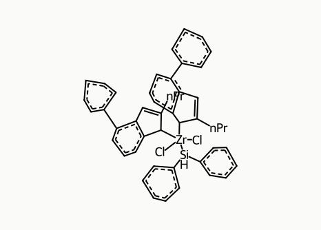 CCCC1=Cc2c(-c3ccccc3)cccc2[CH]1[Zr]([Cl])([Cl])([CH]1C(CCC)=Cc2c(-c3ccccc3)cccc21)[SiH](c1ccccc1)c1ccccc1